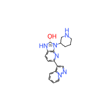 O[C@H]1Nc2ccc(-c3cnn4ccccc34)nc2N1C1CCCNC1